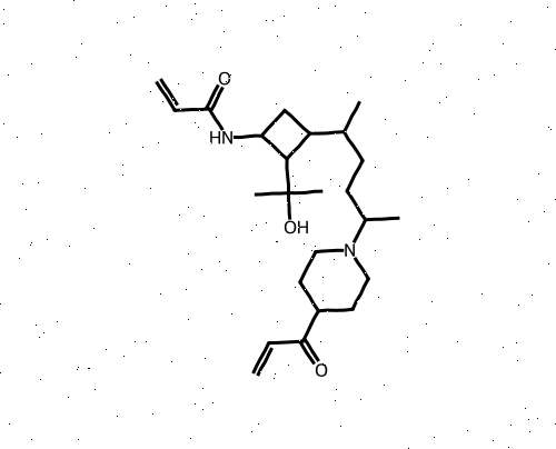 C=CC(=O)NC1CC(C(C)CCC(C)N2CCC(C(=O)C=C)CC2)C1C(C)(C)O